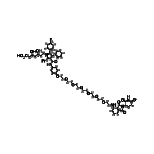 CC(C)c1c(C(=O)Nc2ccc(OCCOCCOCCOCCOCCOCCOCCNc3cccc4c3C(=O)N(C3CCC(=O)NC3=O)C4=O)cc2)c(-c2ccccc2)c(-c2ccc(F)cc2)n1CC[C@@H](O)C[C@@H](O)CC(=O)O